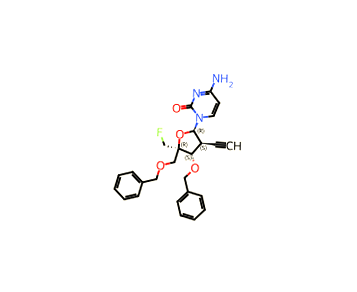 C#C[C@@H]1[C@H](n2ccc(N)nc2=O)O[C@](CF)(COCc2ccccc2)[C@H]1OCc1ccccc1